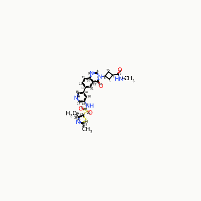 CNC(=O)C1CC(n2cnc3ccc(-c4cncc(NS(=O)(=O)c5sc(C)nc5C)c4)cc3c2=O)C1